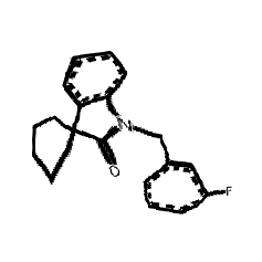 O=C1N(Cc2cccc(F)c2)c2ccccc2C12CCCCC2